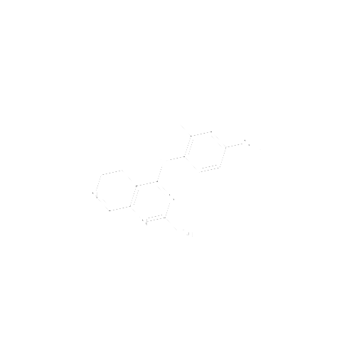 CC(C)(C)c1nc2c(c(Oc3ccc(N)cc3F)n1)CCN=C2